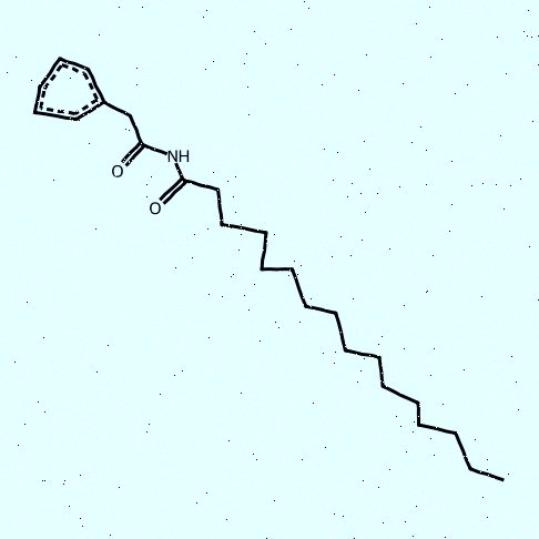 CCCCCCCCCCCCCCCC(=O)NC(=O)Cc1ccccc1